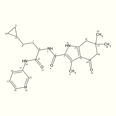 Cc1c(C(=O)NC(CCC2CC2)C(=O)Nc2cccnc2)[nH]c2c1C(=O)CC(C)(C)C2